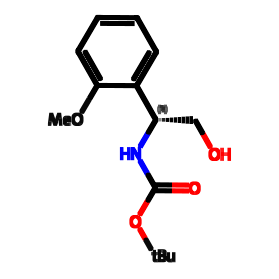 COc1ccccc1[C@H](CO)NC(=O)OC(C)(C)C